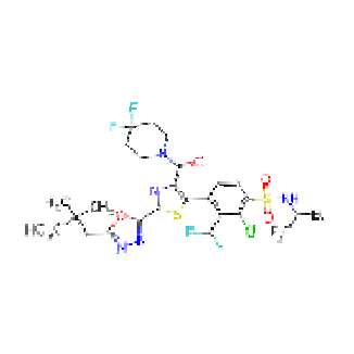 CC[C@H](NS(=O)(=O)c1ccc(-c2sc(-c3nnc(CC(C)(C)C(=O)O)o3)nc2C(=O)N2CCC(F)(F)CC2)c(C(F)F)c1Cl)C(F)(F)F